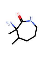 CC1CCCNC(=O)C1(C)N